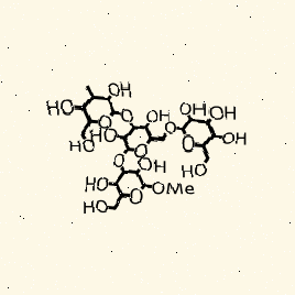 COC1OC(CO)C(O)C(OC2OC(COC3OC(CO)C(O)C(O)C3O)C(O)C(OC3OC(CO)C(O)C(C)C3O)C2O)C1O